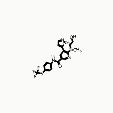 CN(CCO)c1ncc(C(=O)Nc2ccc(SC(F)(F)F)cc2)cc1-c1ccn[nH]1